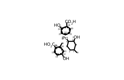 CC1CCC(C(C)C)C(O)C1.Cc1cc(O)ccc1C(=O)O.O=C(O)c1ccccc1O